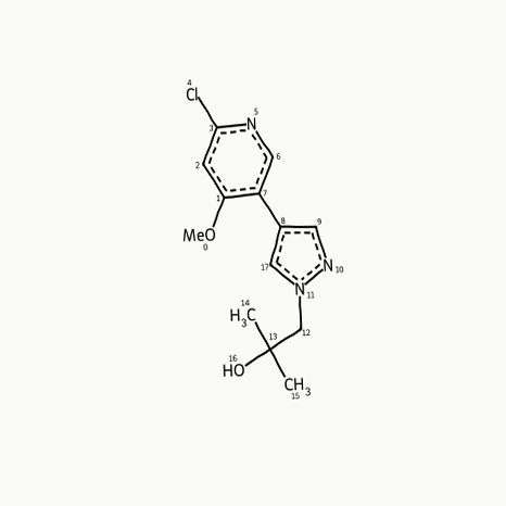 COc1cc(Cl)ncc1-c1cnn(CC(C)(C)O)c1